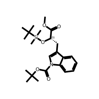 COC(=O)[C@H](Cc1cn(C(=O)OC(C)(C)C)c2ccccc12)O[Si](C)(C)C(C)(C)C